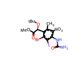 COC(=O)[C@@H](OC(C)(C)C)c1c(C)c([N+](=O)[O-])c(NC(N)=O)c(I)c1Br